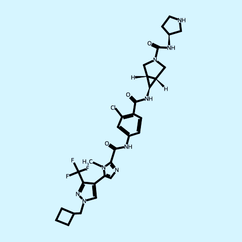 Cn1c(-c2cn(CC3CCC3)nc2C(F)(F)F)cnc1C(=O)Nc1ccc(C(=O)N[C@H]2[C@@H]3CN(C(=O)N[C@H]4CCNC4)C[C@@H]32)c(Cl)c1